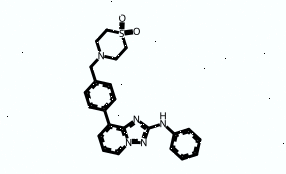 O=S1(=O)CCN(Cc2ccc(-c3cccn4nc(Nc5ccccc5)nc34)cc2)CC1